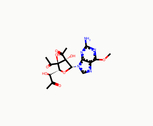 COc1nc(N)nc2c1ncn2[C@@H]1O[C@H](C(O)C(C)=O)[C@](O)(C(C)=O)[C@@]1(O)C(C)=O